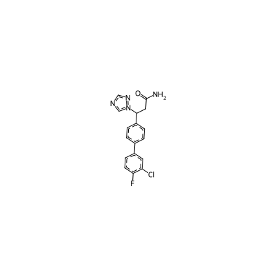 NC(=O)CC(c1ccc(-c2ccc(F)c(Cl)c2)cc1)n1cncn1